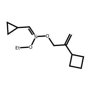 C=C(CO[Si](=CC1CC1)OCC)C1CCC1